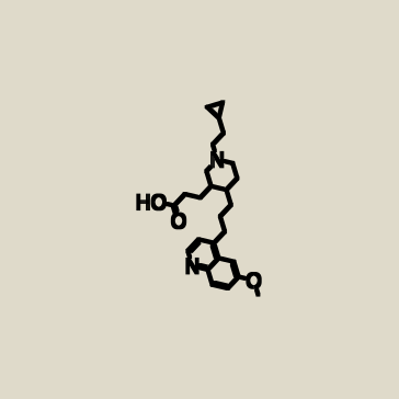 COc1ccc2nccc(CCCC3CCN(CCC4CC4)CC3CCC(=O)O)c2c1